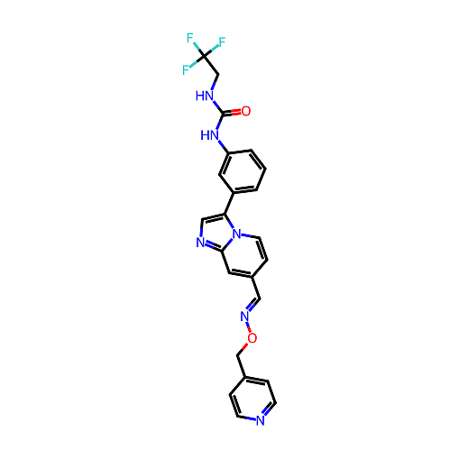 O=C(NCC(F)(F)F)Nc1cccc(-c2cnc3cc(C=NOCc4ccncc4)ccn23)c1